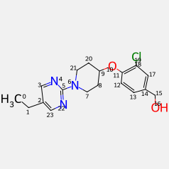 CCc1cnc(N2CCC(Oc3ccc(CO)cc3Cl)CC2)nc1